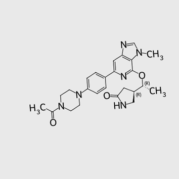 CC(=O)N1CCN(c2ccc(-c3cc4ncn(C)c4c(O[C@H](C)[C@H]4CNC(=O)C4)n3)cc2)CC1